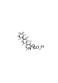 Cc1cc(-c2ccnc(OC(=O)O)c2C)ccc1-c1ccccc1